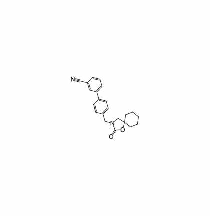 N#Cc1cccc(-c2ccc(CN3CC4(CCCCC4)OC3=O)cc2)c1